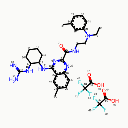 CCN(CCNC(=O)c1nc(NC2CCCCC2NC(=N)N)c2cc(C)ccc2n1)c1cccc(C)c1.O=C(O)C(F)(F)F.O=C(O)C(F)(F)F